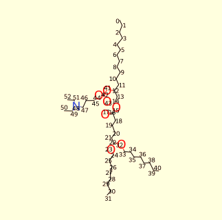 CCCCCCCCCCCCC(CCOC(=O)CCCCC(OCCCCCCCC)OCCCCCCCC)OC(=O)OCCCN(CC)CC